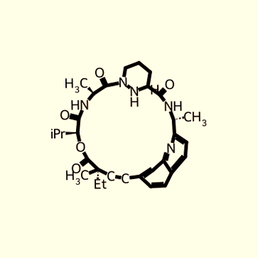 CC[C@@]1(C)CCc2ccc3ccc(nc3c2)[C@@H](C)NC(=O)[C@@H]2CCCN(N2)C(=O)[C@H](C)NC(=O)[C@H](C(C)C)OC1=O